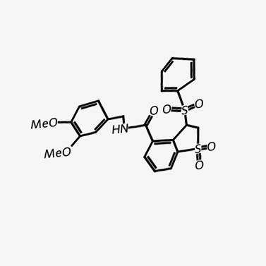 COc1ccc(CNC(=O)c2cccc3c2C(S(=O)(=O)c2ccccc2)CS3(=O)=O)cc1OC